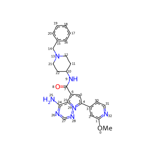 COc1cc(-c2cc(C(=O)NC3CCN(Cc4ccccc4)CC3)c3c(N)ncnn23)ccn1